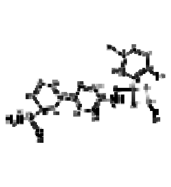 Cc1ccc(F)c([C@]2(CNc3ncc(-c4cccc(C(N)=O)c4)cn3)C[C@@H](F)C2)n1